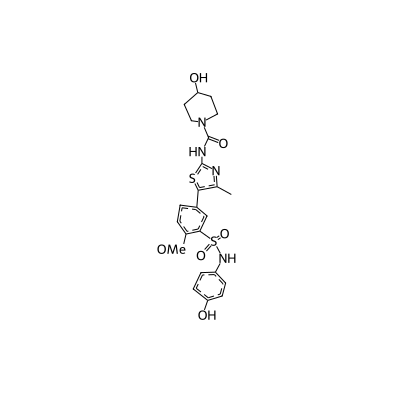 COc1ccc(-c2sc(NC(=O)N3CCC(O)CC3)nc2C)cc1S(=O)(=O)Nc1ccc(O)cc1